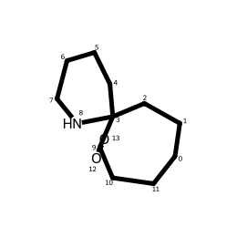 C1CCC2(CCCCN2)C2(CC1)OO2